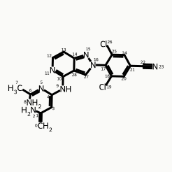 C=C(N)/C=C(\N=C(\C)N)Nc1nccc2nn(-c3c(Cl)cc(C#N)cc3Cl)cc12